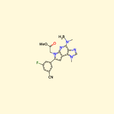 BN(C)c1nc2c(cc(-c3cc(F)cc(C#N)c3)n2CC(=O)OC)c2c1ncn2C